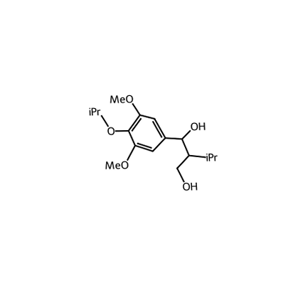 COc1cc(C(O)C(CO)C(C)C)cc(OC)c1OC(C)C